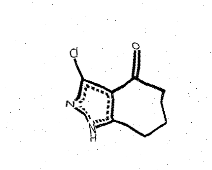 O=C1CCCc2[nH]nc(Cl)c21